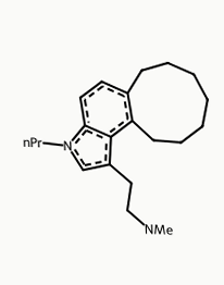 CCCn1cc(CCNC)c2c3c(ccc21)CCCCCCC3